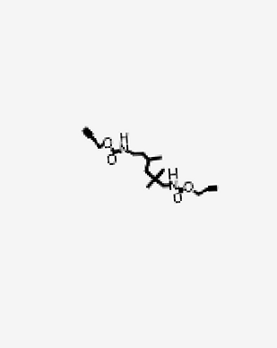 C#CCOC(=O)NCCC(C)CC(C)(C)CNC(=O)OCC#C